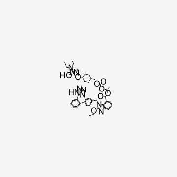 CCOc1nc2cccc(C(=O)OC(C)OC(=O)OCC3CCC(O/N=[N+](\O)N(CC)CC)CC3)c2n1Cc1ccc(-c2ccccc2-c2nnn[nH]2)cc1